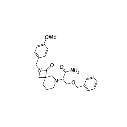 COc1ccc(CN2CC3(CCCN(C(COCc4ccccc4)C(N)=O)C3)C2=O)cc1